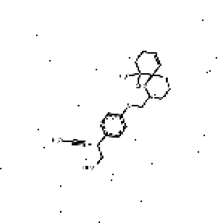 CC#C[C@@H](CC(=O)O)c1ccc(OCC2CCCC3(C=CCCC3(C)C)C2)cc1